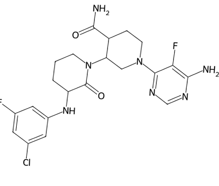 NC(=O)C1CCN(c2ncnc(N)c2F)CC1N1CCCC(Nc2cc(F)cc(Cl)c2)C1=O